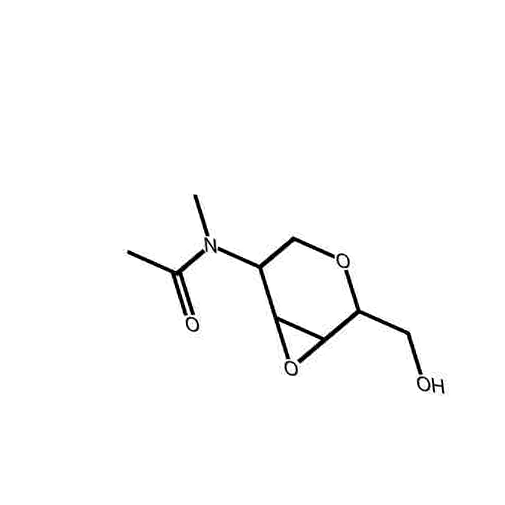 CC(=O)N(C)C1COC(CO)C2OC21